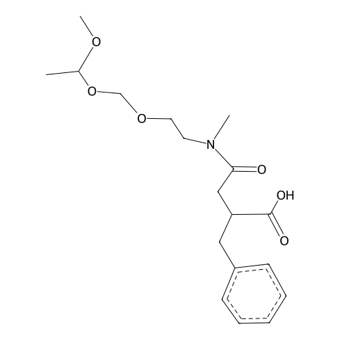 COC(C)OCOCCN(C)C(=O)CC(Cc1ccccc1)C(=O)O